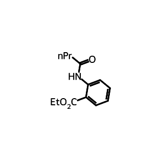 CCCC(=O)Nc1ccccc1C(=O)OCC